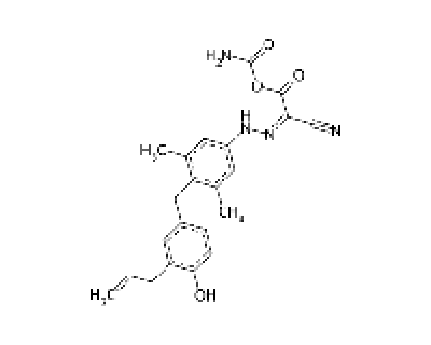 C=CCc1cc(Cc2c(C)cc(NN=C(C#N)C(=O)OC(N)=O)cc2C)ccc1O